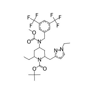 CCC1CC(N(Cc2cc(C(F)(F)F)cc(C(F)(F)F)c2)C(=O)OC)CC(Cc2ccn(CC)n2)N1C(=O)OC(C)(C)C